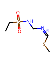 CCS(=O)(=O)NC/N=C\SC